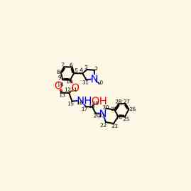 CN1CCC(c2ccccc2OC(C=O)CNCC(O)CN2CCc3ccccc3C2)C1